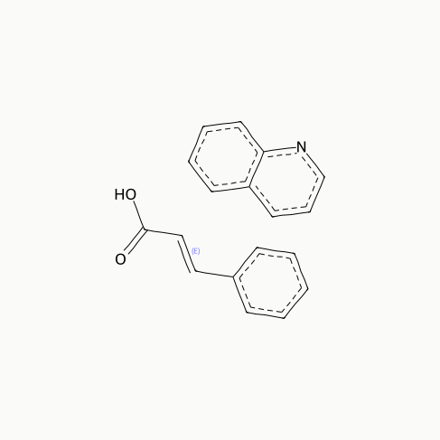 O=C(O)/C=C/c1ccccc1.c1ccc2ncccc2c1